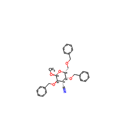 CO[C@H]1O[C@H](COCc2ccccc2)[C@H](OCc2ccccc2)[C@H](C#N)[C@H]1OCc1ccccc1